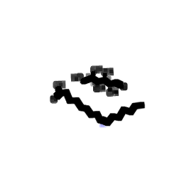 CCCCCC/C=C\CCCCCCCC(=O)O.O=C[C@H](O)[C@@H](O)[C@H](O)[C@H](O)CO